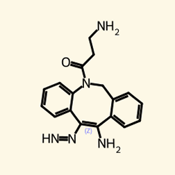 N=N/C1=C(\N)c2ccccc2CN(C(=O)CCN)c2ccccc21